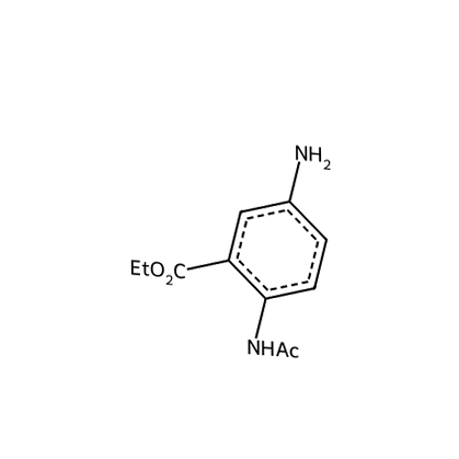 CCOC(=O)c1cc(N)ccc1NC(C)=O